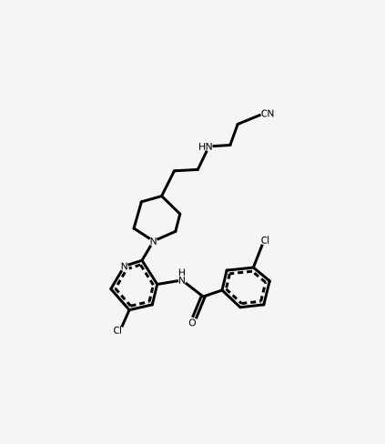 N#CCCNCCC1CCN(c2ncc(Cl)cc2NC(=O)c2cccc(Cl)c2)CC1